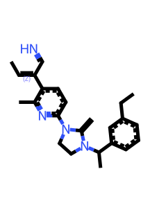 C=C1N(c2ccc(/C(C=N)=C/C)c(C)n2)CCN1C(C)c1cccc(CC)c1